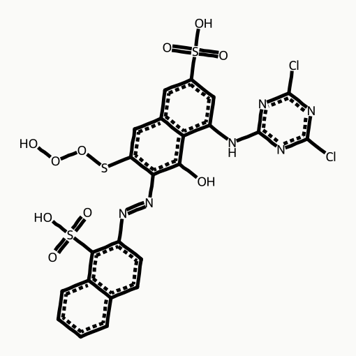 O=S(=O)(O)c1cc(Nc2nc(Cl)nc(Cl)n2)c2c(O)c(N=Nc3ccc4ccccc4c3S(=O)(=O)O)c(SOOO)cc2c1